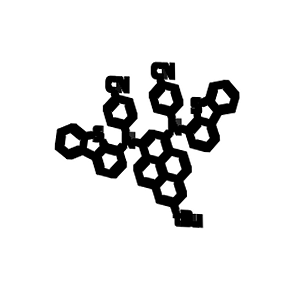 CC(C)(C)c1cc2ccc3c(N(c4ccc(C#N)cc4)c4cccc5c4sc4ccccc45)cc(N(c4ccc(C#N)cc4)c4cccc5c4sc4ccccc45)c4ccc(c1)c2c34